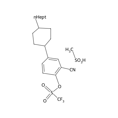 CCCCCCCC1CCC(c2ccc(OS(=O)(=O)C(F)(F)F)c(C#N)c2)CC1.CS(=O)(=O)O